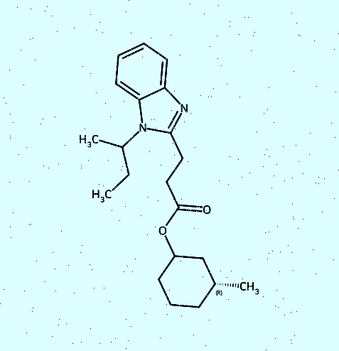 CCC(C)n1c(CCC(=O)OC2CCC[C@@H](C)C2)nc2ccccc21